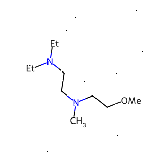 CCN(CC)CCN(C)CCOC